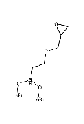 CCCCO[SiH](CCOCC1CO1)OCCCC